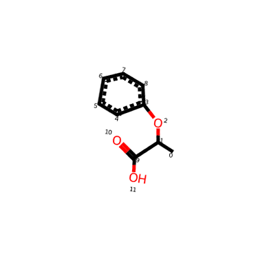 CC(Oc1[c]cccc1)C(=O)O